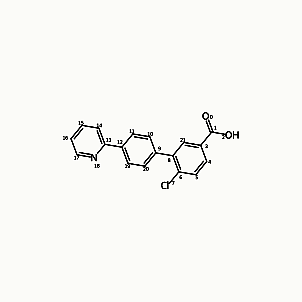 O=C(O)c1ccc(Cl)c(-c2ccc(-c3ccccn3)cc2)c1